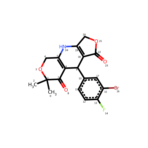 CC1(C)OCC2=C(C1=O)C(c1ccc(F)c(Br)c1)C1=C(COC1=O)N2